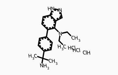 CCN(CC)c1c(-c2ccc(C(C)(C)N)cc2)ccc2[nH]ncc12.Cl.Cl.Cl